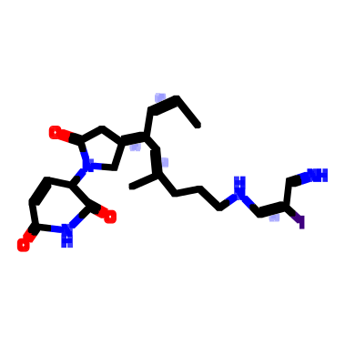 C\C=C/C(/C=C(\C)CCCN/C=C(/I)C=N)=C1\CC(=O)N(C2C=CC(=O)NC2=O)C1